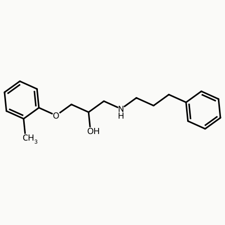 Cc1ccccc1OCC(O)CNCCCc1ccccc1